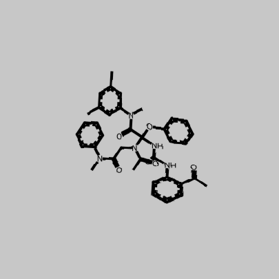 CC(=O)c1ccccc1NC(=O)NC(Oc1ccccc1)(C(=O)N(C)c1cc(C)cc(C)c1)N(CC(=O)N(C)c1ccccc1)C(C)=O